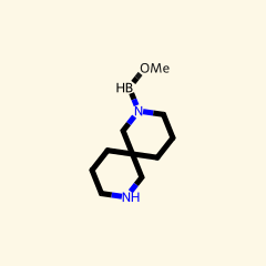 COBN1CCCC2(CCCNC2)C1